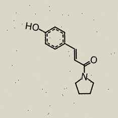 O=C(C=Cc1ccc(O)cc1)N1CCCC1